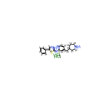 Cl.Cl.c1ccc(-c2cnc(Nc3cc(CC4CCCNCC4)ccn3)s2)cc1